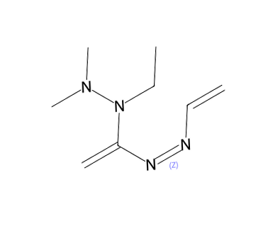 C=C/N=N\C(=C)N(CC)N(C)C